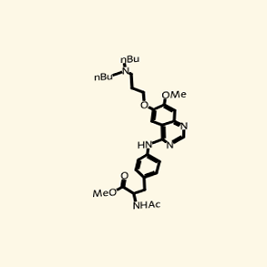 CCCCN(CCCC)CCCOc1cc2c(Nc3ccc(CC(NC(C)=O)C(=O)OC)cc3)ncnc2cc1OC